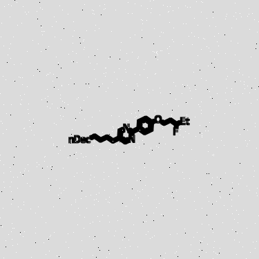 CCCCCCCCCCCCCCc1cnc(-c2ccc(OCCC(F)CC)cc2)nc1